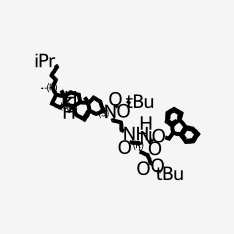 CC(C)CCC[C@@H](C)C1CC[C@H]2[C@H]3CC=C4C[C@@H](N(CCCNC(=O)[C@@H](CCC(=O)OC(C)(C)C)NC(=O)OCC5c6ccccc6-c6ccccc65)C(=O)OC(C)(C)C)CCC4(C)C3CCC12C